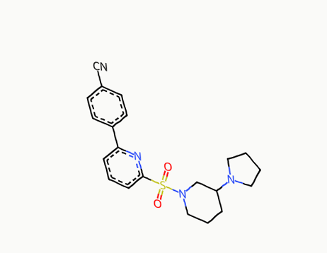 N#Cc1ccc(-c2cccc(S(=O)(=O)N3CCCC(N4CCCC4)C3)n2)cc1